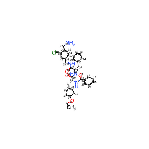 CCOc1ccc(C[C@@H](NC(=O)c2ccccc2)C(=O)N[C@@H](Cc2ccccc2)C(=O)NCc2ccc(CN)c(Cl)c2)cc1